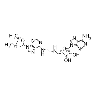 C[C@H]1CC(n2cnc3c(NCCNC[C@H]4O[C@@H](n5cnc6c(N)ncnc65)C(O)[C@H]4O)ncnc32)O[C@@H]1C